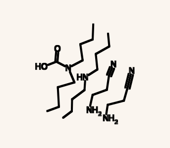 CCCCN(CCCC)C(=O)O.CCCCNCCCC.N#CCCN.N#CCCN